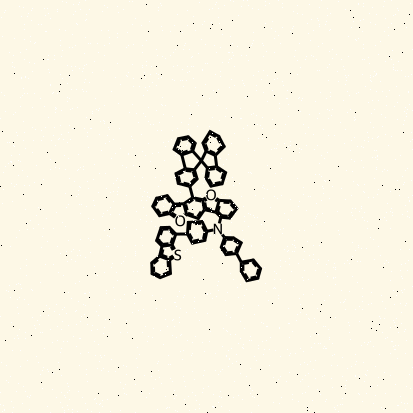 c1ccc(-c2ccc(N(c3ccc(-c4cccc5c4sc4ccccc45)cc3)c3cccc4oc5c(-c6ccc7c(c6)C6(c8ccccc8-c8ccccc86)c6ccccc6-7)c6c(cc5c34)oc3ccccc36)cc2)cc1